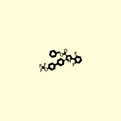 O=C(OCc1ccccc1)[C@H]1CC(c2c(F)cccc2F)=N[C@H]1c1ccc(-c2ccc(OC(F)(F)F)cc2)cc1